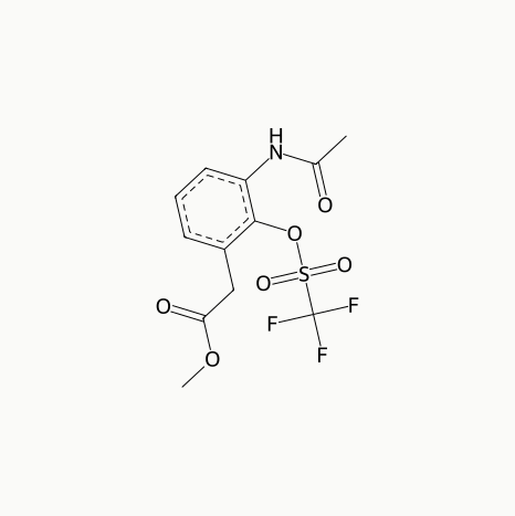 COC(=O)Cc1cccc(NC(C)=O)c1OS(=O)(=O)C(F)(F)F